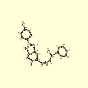 Cc1cc2nn(-c3ccc(Cl)cc3)nc2cc1N=[N+]=NC(=O)c1ccccc1